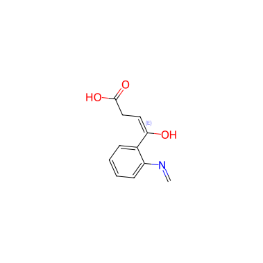 C=Nc1ccccc1/C(O)=C\CC(=O)O